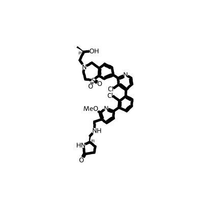 COc1nc(-c2cccc(-c3ccnc(-c4ccc5c(c4)S(=O)(=O)CCN(C[C@@H](C)O)C5)c3Cl)c2Cl)ccc1CNC[C@H]1CCC(=O)N1